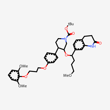 COCCCC(OC1CN(C(=O)OC(C)(C)C)CCC1c1ccc(OCCCOc2c(OC)cccc2OC)cc1)c1ccc2c(c1)NC(=O)CC2